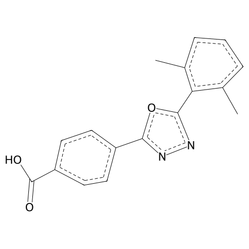 Cc1cccc(C)c1-c1nnc(-c2ccc(C(=O)O)cc2)o1